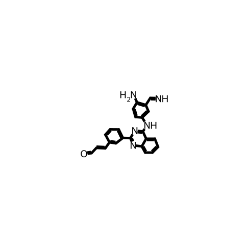 N=Cc1cc(Nc2nc(-c3cccc(/C=C/C=O)c3)nc3ccccc23)ccc1N